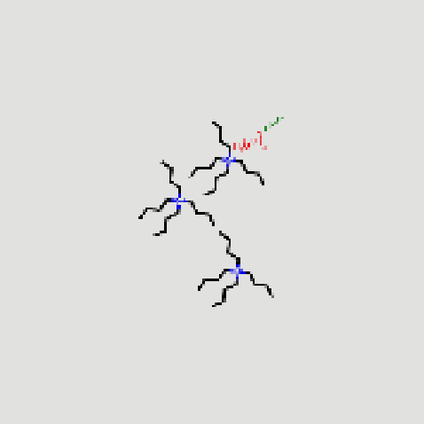 CCCC[N+](CCCC)(CCCC)CCCC.CCCC[N+](CCCC)(CCCC)CCCC.CCCC[N+](CCCC)(CCCC)CCCC.O.O.O.[F-].[F-].[F-]